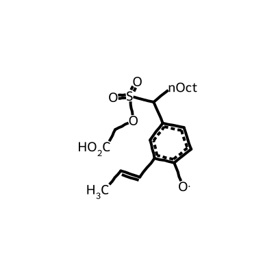 CC=Cc1cc(C(CCCCCCCC)S(=O)(=O)OCC(=O)O)ccc1[O]